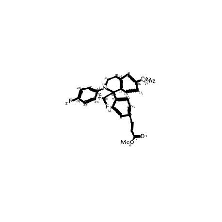 COC(=O)C=Cc1ccc(C2(C(F)F)c3ccc(OC)cc3CCN2c2ccc(F)cc2)cc1